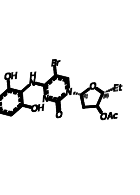 CC[C@H]1O[C@@H](n2cc(Br)c(Nc3c(O)cccc3O)nc2=O)CC1OC(C)=O